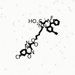 C#Cc1ccc2c(c1)C(c1ccccc1F)=N[C@@H](C)c1c(C(=O)O)nc(CCCCCOC(=O)c3ncn4c3CN(C)C(=O)c3cc(Cl)ccc3-4)n1-2